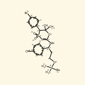 CC1(C)OC(N[C@@H](CCO[Si](C)(C)C(C)(C)C)c2ccc(Cl)cc2)=NS(=O)(=O)C1c1ccc(Br)cc1